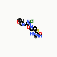 C[C@@H]1CNc2c(sc3ccc4nc(Oc5nc(Cl)ncc5CN5CCC(OC(C)(C)C)CC5)ccc4c23)C(=O)N1